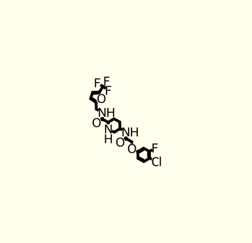 O=C(COc1ccc(Cl)c(F)c1)NC1CCC(C(=O)NCc2ccc(C(F)(F)F)o2)NC1